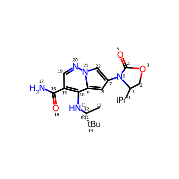 CC(C)C1COC(=O)N1c1cc2c(N[C@H](C)C(C)(C)C)c(C(N)=O)cnn2c1